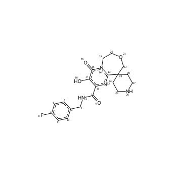 O=C(NCc1ccc(F)cc1)c1nc2n(c(=O)c1O)CCOCC21CCNCC1